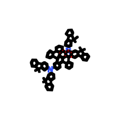 CC1(C)C2=C(CCC=C2)c2ccc(N(c3ccc4c(c3)C(C)(C)c3ccccc3-4)c3ccc4c(-c5ccccc5-c5ccccc5)c5cc(N(c6ccc7c(c6)C(C)(C)c6ccccc6-7)c6ccc7c(c6)C(C)(C)c6ccccc6-7)ccc5c(-c5ccccc5-c5ccccc5)c4c3)cc21